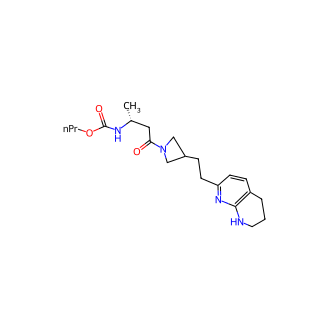 CCCOC(=O)N[C@H](C)CC(=O)N1CC(CCc2ccc3c(n2)NCCC3)C1